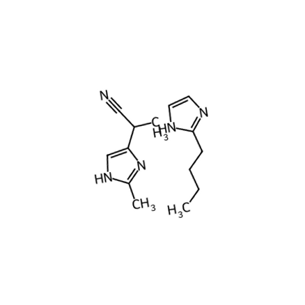 CCCCc1ncc[nH]1.Cc1nc(C(C)C#N)c[nH]1